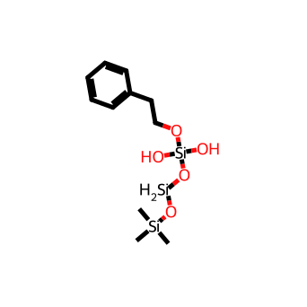 C[Si](C)(C)O[SiH2]O[Si](O)(O)OCCc1ccccc1